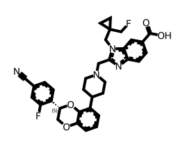 N#Cc1ccc([C@H]2COc3cccc(C4CCN(Cc5nc6ccc(C(=O)O)cc6n5CC5(CF)CC5)CC4)c3O2)c(F)c1